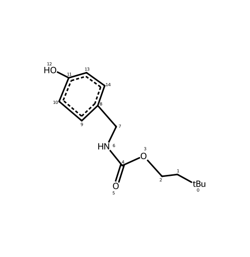 CC(C)(C)CCOC(=O)NCc1ccc(O)cc1